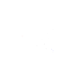 Cc1cc(-c2cncc3ccccc23)ccc1O